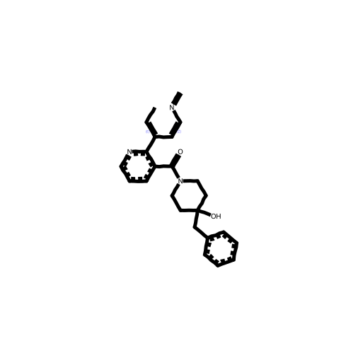 C=N/C=C\C(=C/C)c1ncccc1C(=O)N1CCC(O)(Cc2ccccc2)CC1